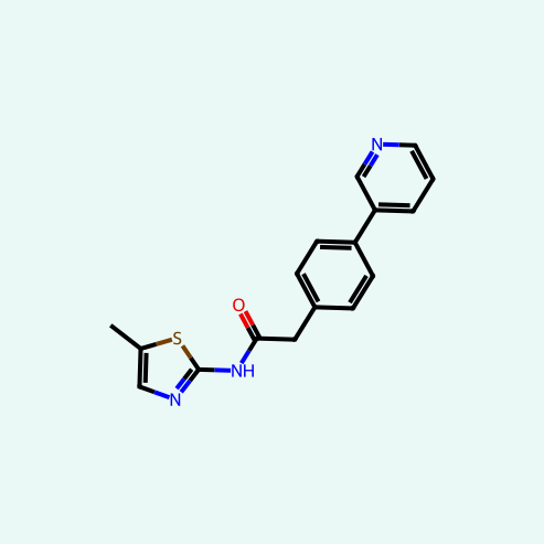 Cc1cnc(NC(=O)Cc2ccc(-c3cccnc3)cc2)s1